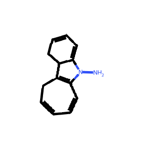 NN1C2=CC=CCC2C2=C1C=CC=CC2